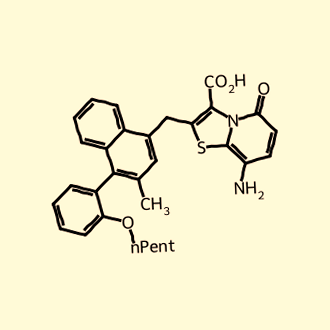 CCCCCOc1ccccc1-c1c(C)cc(Cc2sc3c(N)ccc(=O)n3c2C(=O)O)c2ccccc12